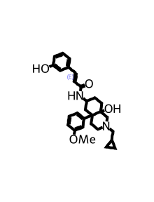 COc1cccc(C23CCN(CC4CC4)CC2(O)CCC(NC(=O)/C=C/c2cccc(O)c2)C3)c1